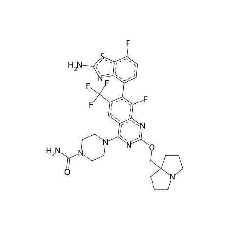 NC(=O)N1CCN(c2nc(OCC34CCCN3CCC4)nc3c(F)c(-c4ccc(F)c5sc(N)nc45)c(C(F)(F)F)cc23)CC1